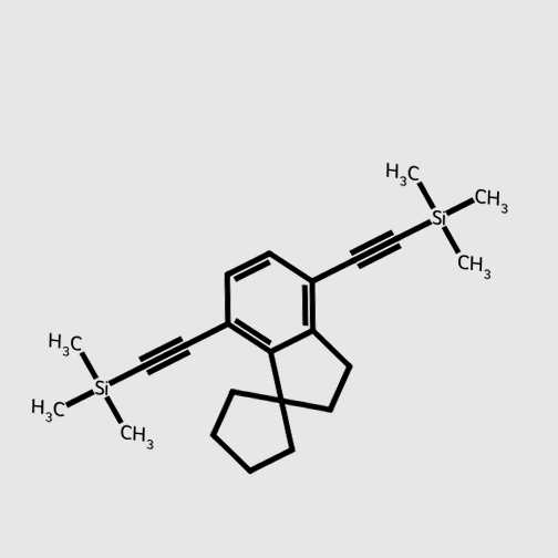 C[Si](C)(C)C#Cc1ccc(C#C[Si](C)(C)C)c2c1CCC21CCCC1